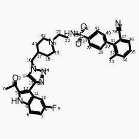 CC(=O)c1[nH]c2ccc(F)cc2c1-c1cn(CC2CCN(CCNS(=O)(=O)c3ccc(-c4c(C)cccc4C#N)cc3)CC2)nn1